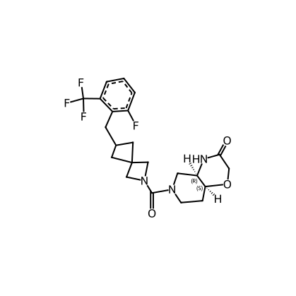 O=C1CO[C@H]2CCN(C(=O)N3CC4(CC(Cc5c(F)cccc5C(F)(F)F)C4)C3)C[C@H]2N1